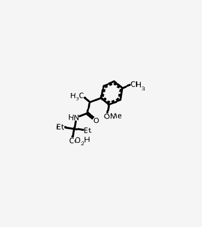 CCC(CC)(NC(=O)C(C)c1ccc(C)cc1OC)C(=O)O